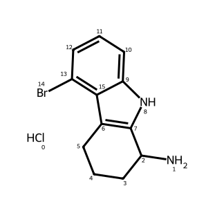 Cl.NC1CCCc2c1[nH]c1cccc(Br)c21